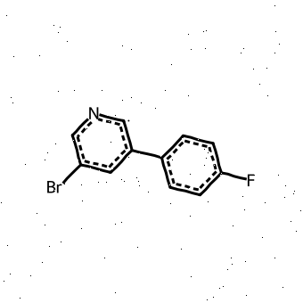 Fc1ccc(-c2[c]ncc(Br)c2)cc1